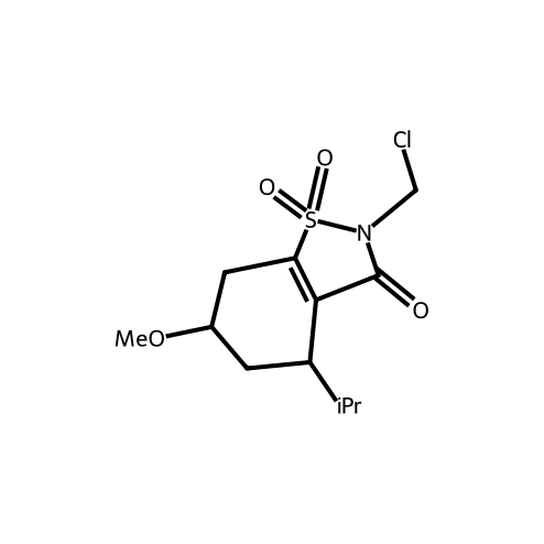 COC1CC2=C(C(=O)N(CCl)S2(=O)=O)C(C(C)C)C1